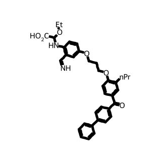 CCCc1cc(C(=O)c2ccc(-c3ccccc3)cc2)ccc1OCCCOc1ccc(NC(OCC)C(=O)O)c(C=N)c1